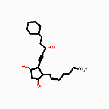 O=C(O)CCC/C=C\C[C@@H]1C(C#C[C@@H](O)CCC2CCCCC2)[C@H](O)C[C@@H]1O